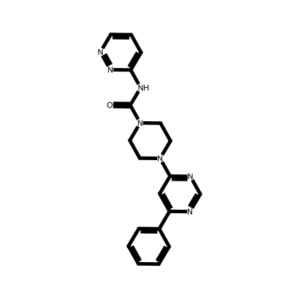 O=C(Nc1cccnn1)N1CCN(c2cc(-c3ccccc3)ncn2)CC1